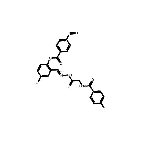 O=Nc1ccc(C(=O)Oc2ccc(Cl)cc2/C=N/NC(=O)CNC(=O)c2ccc(Cl)cc2)cc1